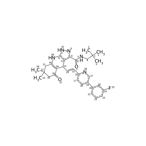 CC(C)(C)CNC(=O)c1n[nH]c2c1C(/C=C/c1ccc(-c3cccc(F)c3)cn1)C1=C(CC(C)(C)CC1=O)N2